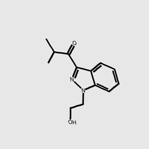 CC(C)C(=O)c1nn(CCO)c2ccccc12